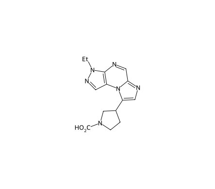 CCn1ncc2c1ncc1ncc(C3CCN(C(=O)O)C3)n12